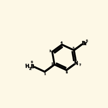 BCc1ccc(Br)nc1